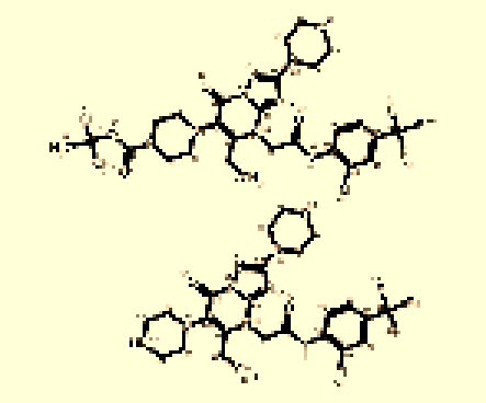 CCc1c(N2CCN(C(=O)OC(C)(C)C)CC2)c(=O)n2nc(N3CCOCC3)nc2n1CC(=O)Nc1ccc(C(F)(F)F)cc1Cl.CCc1c(N2CCNCC2)c(=O)n2nc(N3CCOCC3)nc2n1CC(=O)Nc1ccc(C(F)(F)F)cc1Cl